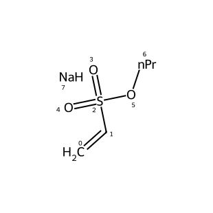 C=CS(=O)(=O)OCCC.[NaH]